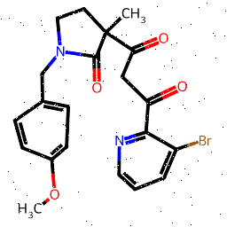 COc1ccc(CN2CCC(C)(C(=O)CC(=O)c3ncccc3Br)C2=O)cc1